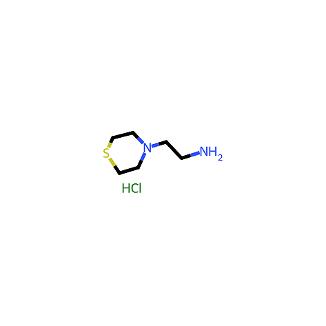 Cl.NCCN1CCSCC1